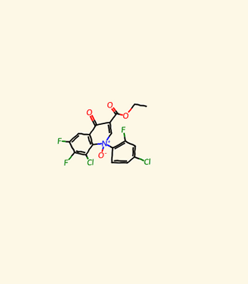 CCOC(=O)C1=C[N+]([O-])(c2ccc(Cl)cc2F)c2c(cc(F)c(F)c2Cl)C1=O